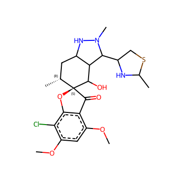 COc1cc(OC)c2c(c1Cl)O[C@]1(C2=O)C(O)C2C(C[C@H]1C)NN(C)C2C1CSC(C)N1